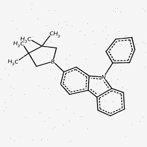 CC1(C)CB(c2ccc3c4ccccc4n(-c4ccccc4)c3c2)CC1(C)C